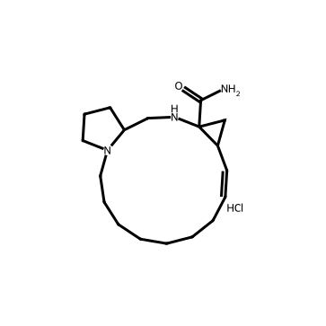 Cl.NC(=O)C12CC1C=CCCCCCCCN1CCCC1CN2